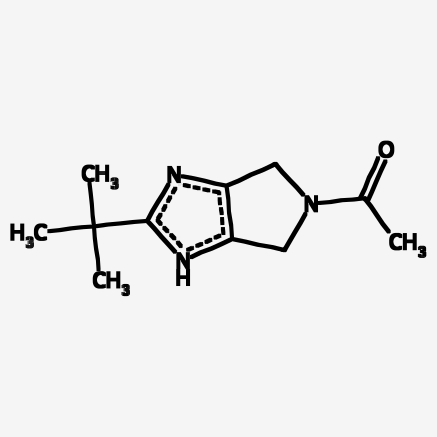 CC(=O)N1Cc2nc(C(C)(C)C)[nH]c2C1